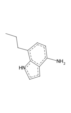 CCCc1ccc(N)c2cc[nH]c12